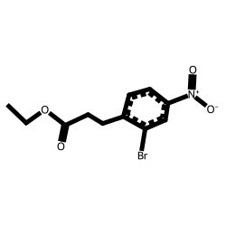 CCOC(=O)CCc1ccc([N+](=O)[O-])cc1Br